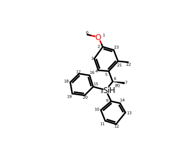 COc1ccc([C@@H](C)[SiH](c2ccccc2)c2ccccc2)c(C)c1